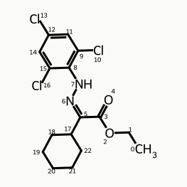 CCOC(=O)C(=NNc1c(Cl)cc(Cl)cc1Cl)C1CCCCC1